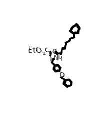 CCOC(=O)CC[C@@H](Cc1ccc(OCc2ccccc2)cc1)NC(=O)CCCCCCCc1ccccc1